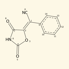 N#CC(=C1OC(=O)NC1=O)c1ccccc1